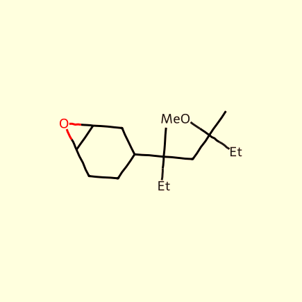 CCC(C)(CC(C)(CC)C1CCC2OC2C1)OC